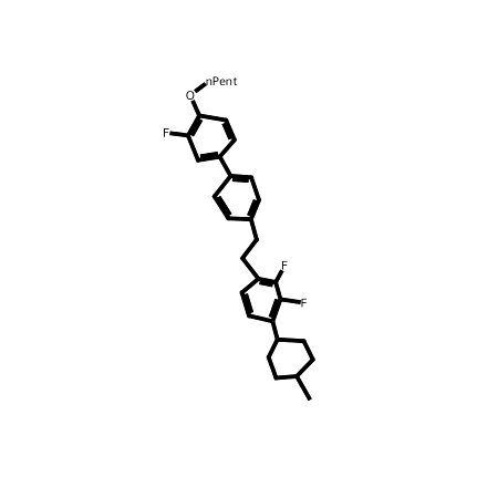 CCCCCOc1ccc(-c2ccc(CCc3ccc(C4CCC(C)CC4)c(F)c3F)cc2)cc1F